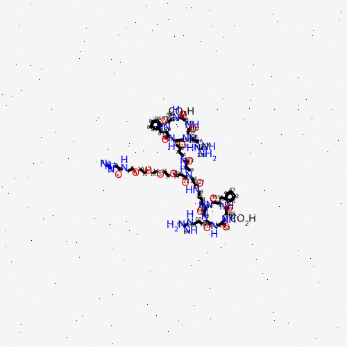 [N-]=[N+]=NCC(=O)NCCOCCOCCOCCOCCC(=O)N(CCC(=O)NCCCC[C@@H]1NC(=O)[C@@H](Cc2ccccc2)NC(=O)[C@H](CC(=O)O)NC(=O)CNC(=O)[C@H](CCCNC(=N)N)NC1=O)CCC(=O)NCCCC[C@@H]1NC(=O)[C@@H](Cc2ccccc2)NC(=O)[C@H](CC(=O)O)NC(=O)CNC(=O)[C@H](CCCNC(=N)N)NC1=O